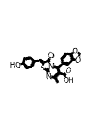 CC1=C(C(=O)O)C(c2ccc3c(c2)OCO3)n2c(sc(=Cc3ccc(O)cc3)c2=O)=N1